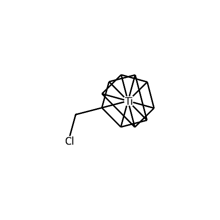 ClC[C]12[CH]3[CH]4[CH]5[CH]1[Ti]45321678[CH]2[CH]1[CH]6[CH]7[CH]28